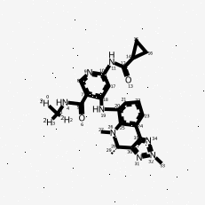 [2H]C([2H])([2H])NC(=O)c1cnc(NC(=O)C2CC2)cc1Nc1cccc2c1N(C)[C@@H](C)c1nn(C)nc1-2